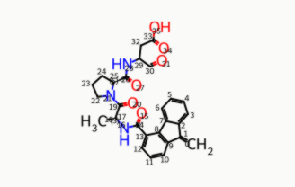 C=C1c2ccccc2-c2c1cccc2C(=O)N[C@@H](C)C(=O)N1CCC[C@H]1C(=O)NC(C=O)CC(=O)O